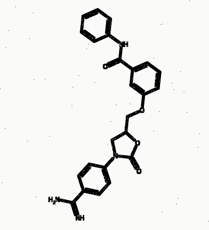 N=C(N)c1ccc(N2CC(COc3cccc(C(=O)Nc4ccccc4)c3)OC2=O)cc1